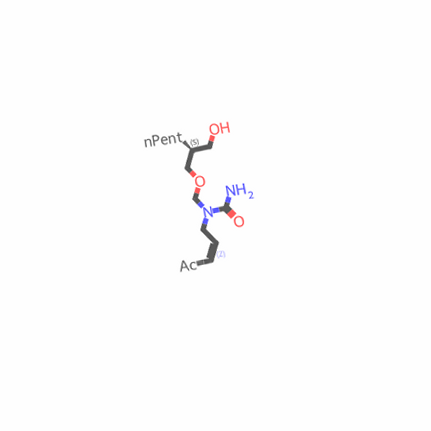 CCCCC[C@@H](CO)COCN(C/C=C\C(C)=O)C(N)=O